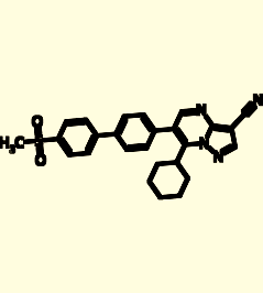 CS(=O)(=O)c1ccc(-c2ccc(-c3cnc4c(C#N)cnn4c3C3CCCCC3)cc2)cc1